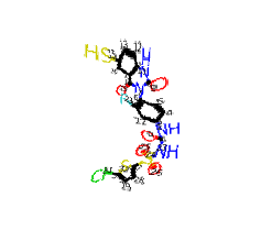 O=C(Nc1ccc(-n2c(=O)[nH]c3ccc(S)cc3c2=O)c(F)c1)NS(=O)(=O)c1ccc(Cl)s1